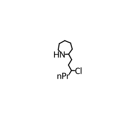 CCCC(Cl)CCC1CCCCCN1